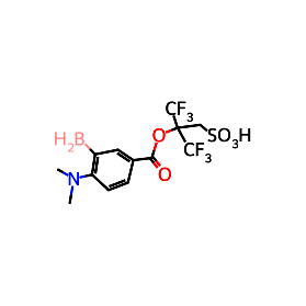 Bc1cc(C(=O)OC(CS(=O)(=O)O)(C(F)(F)F)C(F)(F)F)ccc1N(C)C